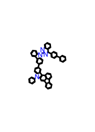 c1ccc(-c2ccc(-c3nc(-n4c5ccccc5c5cc(-c6ccc7c(c6)c6c8cccc9c8c(cc6n7-c6ccccc6)-c6ccccc6-9)ccc54)nc4ccccc34)cc2)cc1